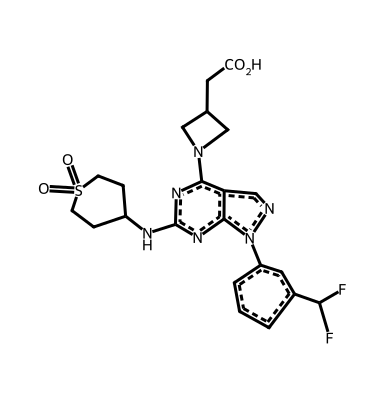 O=C(O)CC1CN(c2nc(NC3CCS(=O)(=O)CC3)nc3c2cnn3-c2cccc(C(F)F)c2)C1